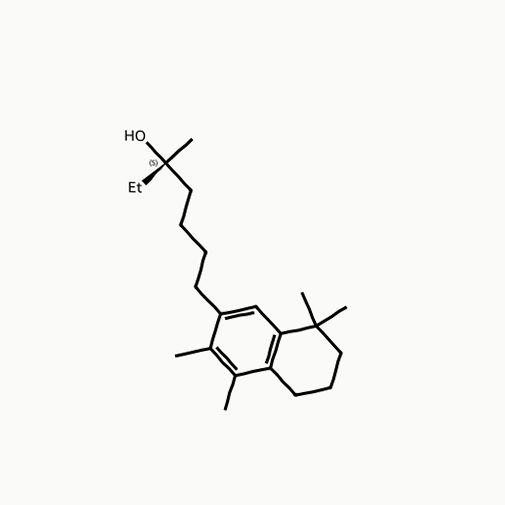 CC[C@](C)(O)CCCCc1cc2c(c(C)c1C)CCCC2(C)C